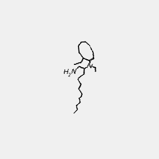 CCCCCCCCCCC(CN)N(CC)C1CCCCCCCC1CC